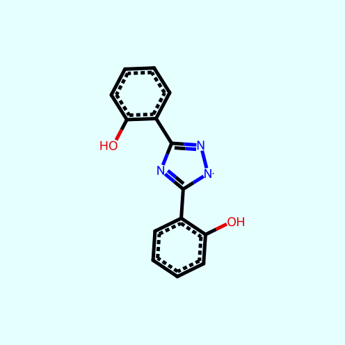 Oc1ccccc1C1=NC(c2ccccc2O)=N[N]1